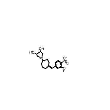 COc1cc(/C=C2/CCCC(N3C[C@@H](O)[C@H](O)C3)CC2)ccc1[N+](=O)[O-]